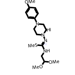 COc1ccc(N2CCN(/N=C(/NCC(OC)OC)SC)CC2)cc1.I